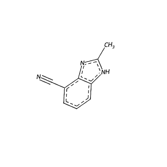 Cc1nc2c(C#N)cccc2[nH]1